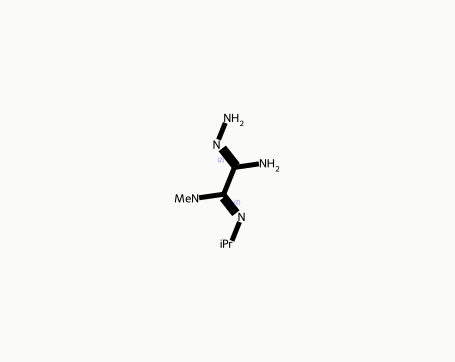 CNC(=N\C(C)C)/C(N)=N/N